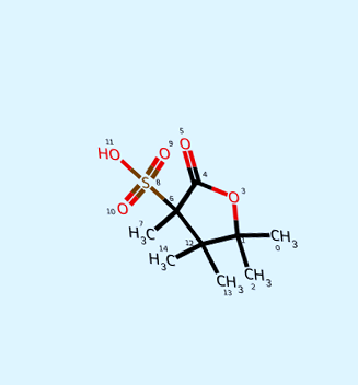 CC1(C)OC(=O)C(C)(S(=O)(=O)O)C1(C)C